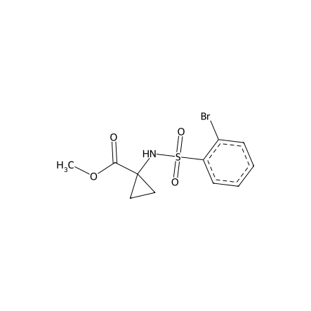 COC(=O)C1(NS(=O)(=O)c2ccccc2Br)CC1